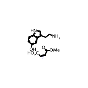 COC(=O)/C=C\C(=O)O.NCCc1c[nH]c2ccc(O)cc12